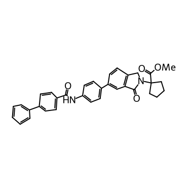 COC(=O)C1(N2Cc3ccc(-c4ccc(NC(=O)c5ccc(-c6ccccc6)cc5)cc4)cc3C2=O)CCCC1